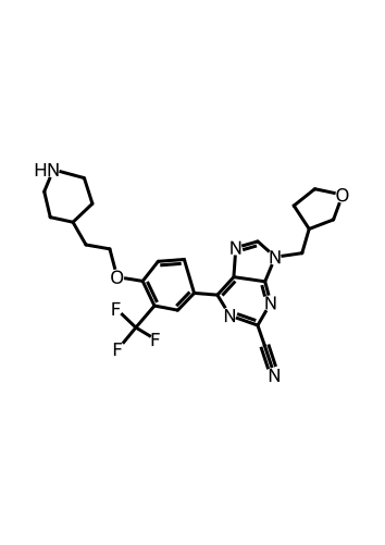 N#Cc1nc(-c2ccc(OCCC3CCNCC3)c(C(F)(F)F)c2)c2ncn(CC3CCOC3)c2n1